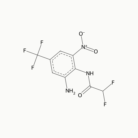 Nc1cc(C(F)(F)F)cc([N+](=O)[O-])c1NC(=O)C(F)F